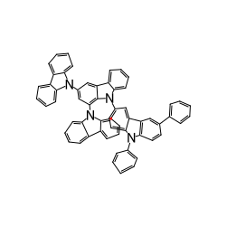 c1ccc(-c2ccc3c(c2)c2cc(-n4c5ccccc5c5cc(-n6c7ccccc7c7ccccc76)cc(-n6c7ccccc7c7ccccc76)c54)ccc2n3-c2ccccc2)cc1